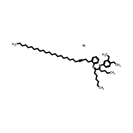 CCCCCCCCCCCCCCCCCCCCCC#CCCc1ccccc1N=C(CCCCCC)C(CCCC)=Nc1ccc(CC)c(CC)c1.[Ni]